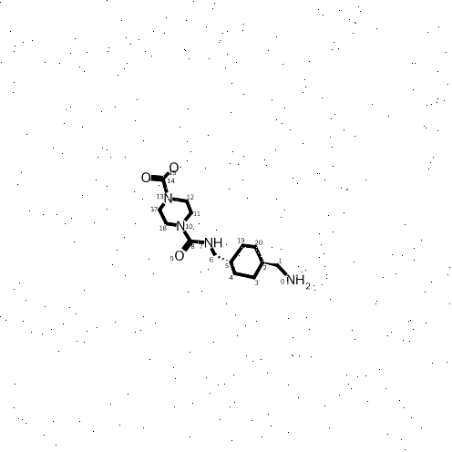 NC[C@H]1CC[C@H](CNC(=O)N2CCN(C([O])=O)CC2)CC1